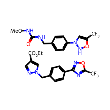 CCOC(=O)c1cnn(Cc2ccc(-c3noc(C(F)(F)F)n3)cc2)c1.CONC(=O)NCc1ccc(N2C=C(C(F)(F)F)ON2)cc1